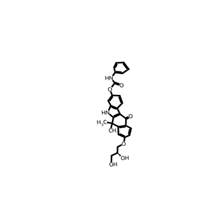 CC1(C)c2cc(OC[C@@H](O)CO)ccc2C(=O)c2c1[nH]c1cc(OC(=O)Nc3ccccc3)ccc21